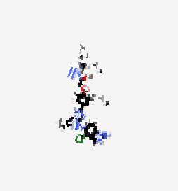 Cc1cc(-c2nc(Nc3ccc4[nH]ncc4c3Cl)n(C)n2)ccc1OCC(=O)NC(C)C